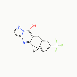 Oc1c(Cc2cccc(C(F)(F)F)c2)c(C2CC2)nc2ccnn12